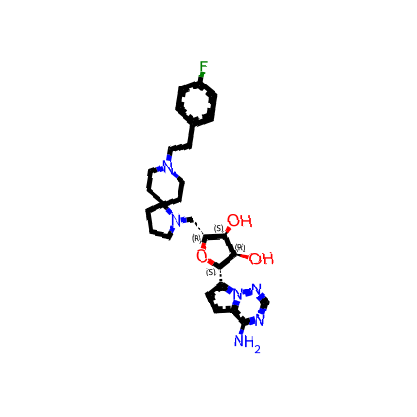 Nc1ncnn2c([C@@H]3O[C@H](CN4CCCC45CCN(CCc4ccc(F)cc4)CC5)[C@@H](O)[C@H]3O)ccc12